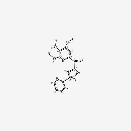 COc1cc(C(=S)c2coc(-c3ccccc3)n2)cc(OC)c1OC